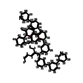 C/C=C\C=C(/CC)N(c1cccc(-c2cccc(-c3cccnc3)c2)c1)c1cccc(-c2cccc(-c3ccc(C)c(-c4ccccc4Cc4ccc5sc6ccc(-c7cccnc7)cc6c5c4)c3)c2)c1